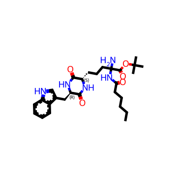 CCCCCC(=O)NC(N)(CCC[C@@H]1NC(=O)[C@@H](Cc2c[nH]c3ccccc23)NC1=O)C(=O)OC(C)(C)C